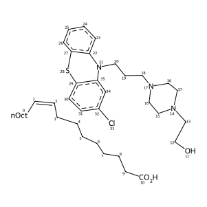 CCCCCCCC/C=C\CCCCCCCC(=O)O.OCCN1CCN(CCCN2c3ccccc3Sc3ccc(Cl)cc32)CC1